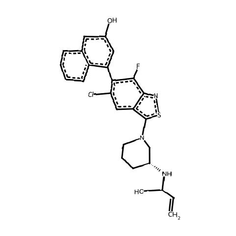 C=CC(O)N[C@@H]1CCCN(c2snc3c(F)c(-c4cc(O)cc5ccccc45)c(Cl)cc23)C1